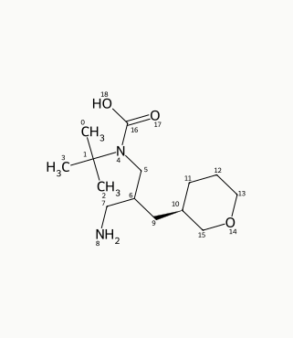 CC(C)(C)N(CC(CN)C[C@H]1CCCOC1)C(=O)O